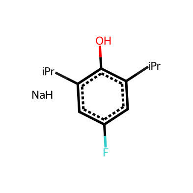 CC(C)c1cc(F)cc(C(C)C)c1O.[NaH]